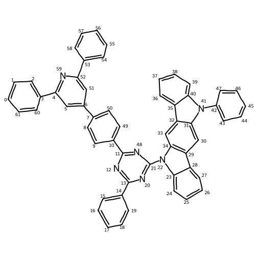 c1ccc(-c2cc(-c3ccc(-c4nc(-c5ccccc5)nc(-n5c6ccccc6c6cc7c(cc65)c5ccccc5n7-c5ccccc5)n4)cc3)cc(-c3ccccc3)n2)cc1